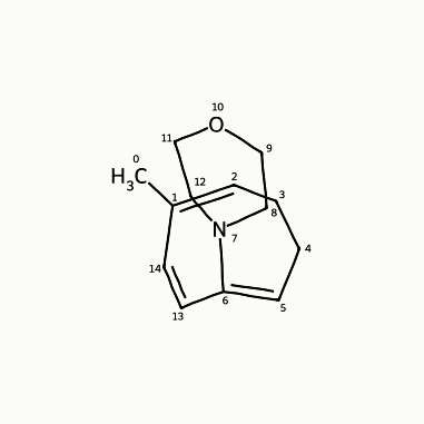 CC1=C/CC/C=C(N2CCOCC2)/C=C\1